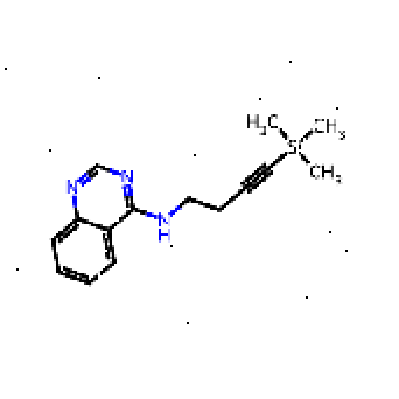 C[Si](C)(C)C#CCCNc1ncnc2ccccc12